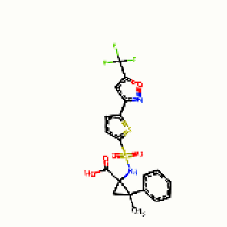 [CH2]C1(c2ccccc2)CC1(NS(=O)(=O)c1ccc(-c2cc(C(F)(F)F)on2)s1)C(=O)O